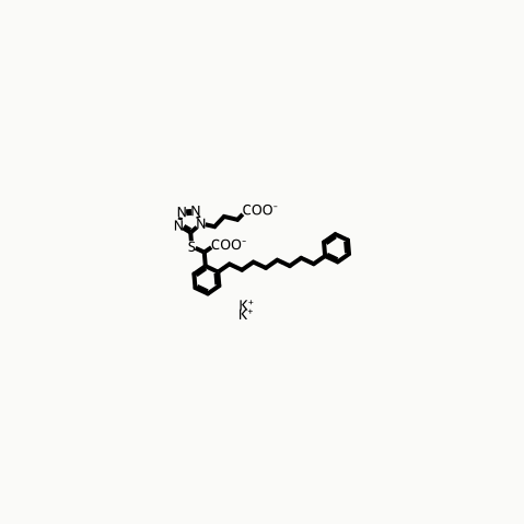 O=C([O-])CCCn1nnnc1SC(C(=O)[O-])c1ccccc1CCCCCCCCc1ccccc1.[K+].[K+]